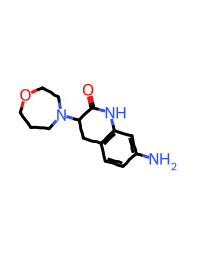 Nc1ccc2c(c1)NC(=O)C(N1CCCOCC1)C2